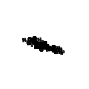 CCOC(=O)C(C)(C)COS(=O)(=O)ON1C(=O)N(C)[C@@]2(C(=O)NOCCNC(=O)OC(C)(C)C)CCC12